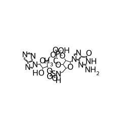 COC1C2CNS(=O)(=O)OC3C(COP(=O)(O)OC1C(n1cnc4c(=O)[nH]c(N)nc41)O2)OC(n1cnc2cncnc21)C3O